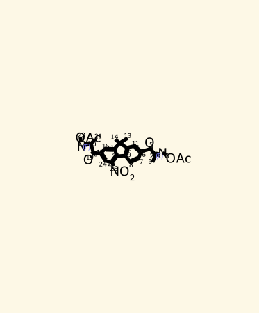 CC(=O)O/N=C(\C)C(=O)c1ccc2c(c1)C(C)(C)c1cc(C(=O)/C(C)=N/OC(C)=O)cc([N+](=O)[O-])c1-2